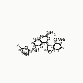 COc1cccc2c1C(C1OC(N)=Nc3ccc(Nc4nnc(C)o4)cc31)CO2